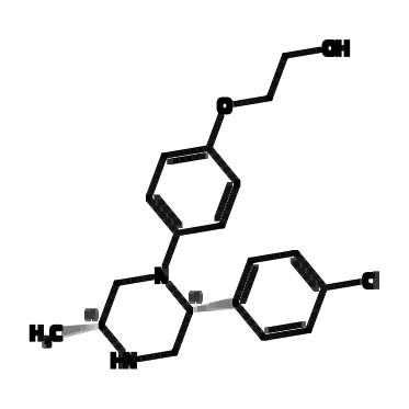 C[C@@H]1CN(c2ccc(OCCO)cc2)[C@H](c2ccc(Cl)cc2)CN1